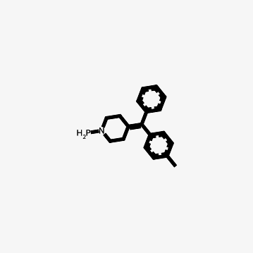 Cc1ccc(C(=C2CCN(P)CC2)c2ccccc2)cc1